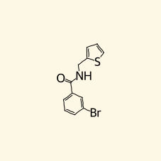 O=C(NCc1cccs1)c1cccc(Br)c1